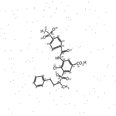 CN(CCc1ccccc1)S(=O)(=O)c1cc(C(=O)O)cc(NC(=O)c2ccc(S(C)(=O)=O)cc2)c1Cl